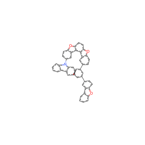 c1cc(-c2ccc3oc4ccccc4c3c2)cc(-c2ccc3oc4ccc5oc6ccc(-n7c8ccccc8c8ccccc87)cc6c5c4c3c2)c1